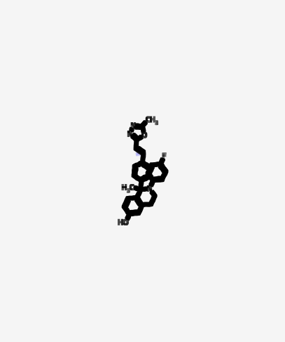 Cc1nnc(/C=C/c2ccc(C3(C)c4ccc(O)cc4CCN3c3ccc(F)cc3)cc2)o1